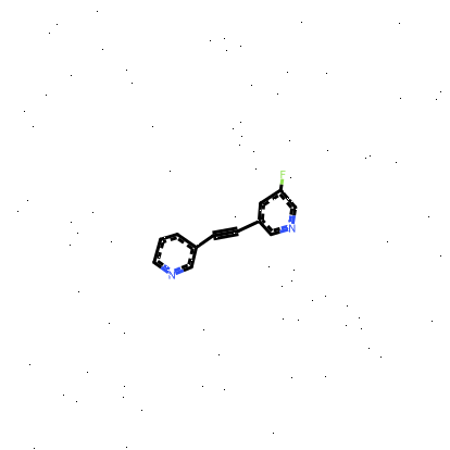 Fc1cncc(C#Cc2cccnc2)c1